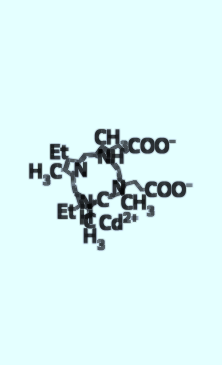 CCC1=C(C)c2cc3[nH]c(cc4nc(cc5[nH]c(cc1n2)c(C)c5CCC(=O)[O-])C(CCC(=O)[O-])=C4C)c(C)c3CC.[Cd+2]